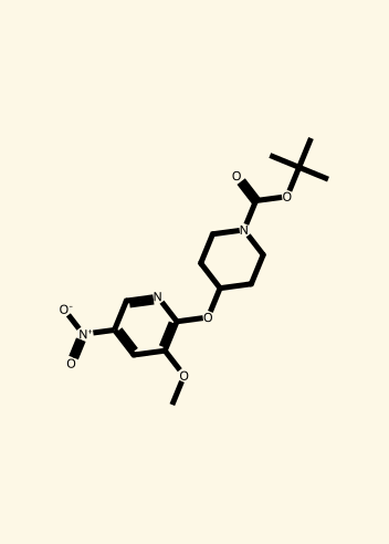 COc1cc([N+](=O)[O-])cnc1OC1CCN(C(=O)OC(C)(C)C)CC1